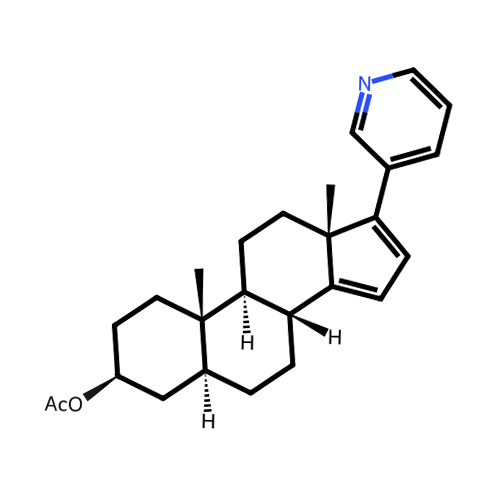 CC(=O)O[C@H]1CC[C@@]2(C)[C@@H](CC[C@H]3C4=CC=C(c5cccnc5)[C@@]4(C)CC[C@@H]32)C1